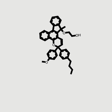 CCCCc1ccc(C2(c3ccc(OC)cc3)C=Cc3c4c(c5ccccc5c3O2)-c2ccccc2C4(C)OCCO)cc1